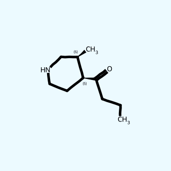 CCCC(=O)[C@H]1CCNC[C@H]1C